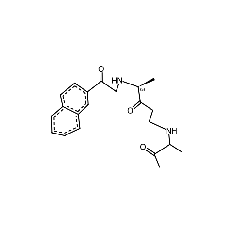 CC(=O)C(C)NCCC(=O)[C@H](C)NCC(=O)c1ccc2ccccc2c1